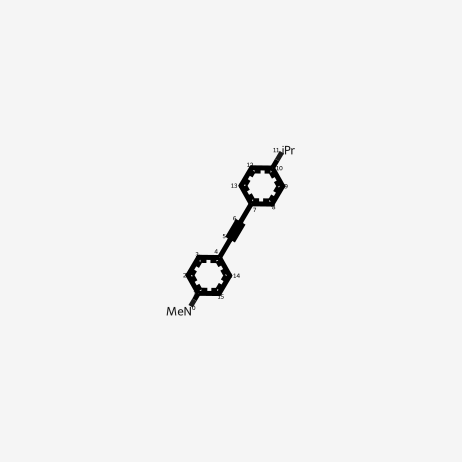 CNc1ccc(C#Cc2ccc(C(C)C)cc2)cc1